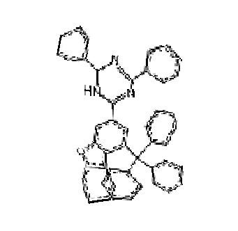 c1ccc(C2=NC(c3ccccc3)NC(c3cc(C(c4ccccc4)(c4ccccc4)c4ccccc4)c4c(c3)oc3ccccc34)=N2)cc1